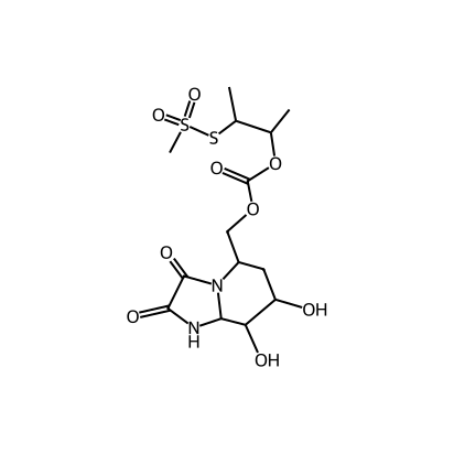 CC(OC(=O)OCC1CC(O)C(O)C2NC(=O)C(=O)N12)C(C)SS(C)(=O)=O